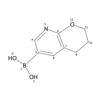 OB(O)c1cnc2c(c1)CCCO2